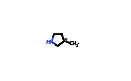 [CH2][C@@H]1CCNC1